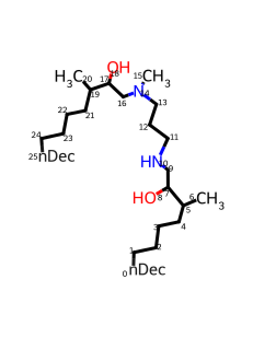 CCCCCCCCCCCCCCC(C)C(O)CNCCCN(C)CC(O)C(C)CCCCCCCCCCCCCC